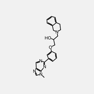 Cn1cnc2cnc(-c3cccc(OCC(O)CN4CCc5ccccc5C4)c3)nc21